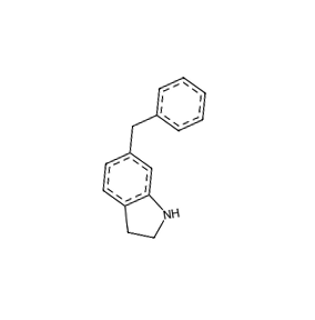 c1ccc(Cc2ccc3c(c2)NCC3)cc1